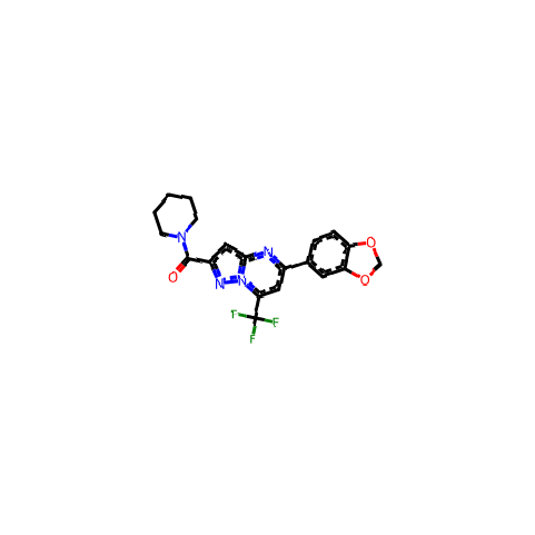 O=C(c1cc2nc(-c3ccc4c(c3)OCO4)cc(C(F)(F)F)n2n1)N1CCCCC1